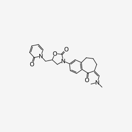 CN(C)C=C1CCCc2cc(N3CC(Cn4ccccc4=O)OC3=O)ccc2C1=O